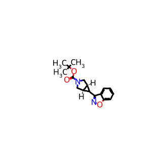 CC(C)(C)OC(=O)N1C[C@@H]2C(c3noc4ccccc34)[C@@H]2C1